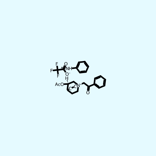 CC(=O)Nc1ccccc1.CC(=O)O[C@H]1C[N+]2(CC(=O)c3ccccc3)CCC1CC2.O=C([O-])C(F)(F)F